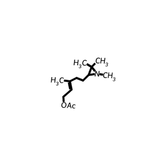 CC(=O)OCC=C(C)CCC1N(C)C1(C)C